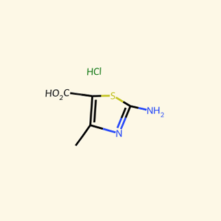 Cc1nc(N)sc1C(=O)O.Cl